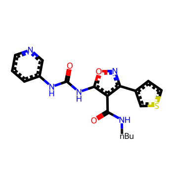 CCCCNC(=O)c1c(-c2ccsc2)noc1NC(=O)Nc1cccnc1